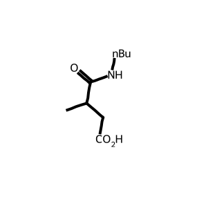 CCCCNC(=O)C(C)CC(=O)O